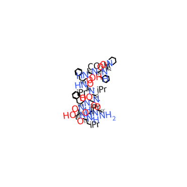 CC(C)C[C@@H](C(=O)N[C@H](C(=O)N(C)[C@@H](Cc1ccccc1)C(=O)NCC(=O)N(C)[C@@H](CC(C)C)C(O)N(C)[C@H](C(=O)N[C@@H](Cc1ccccc1)C(=O)N[C@@H](CC(=O)O)C(O)N(C)[C@@H](Cc1ccccc1)C(=O)N[C@@H](C)C(=O)N1CCCCC1)C(C)C)[C@@H](C)O)N(C)C(=O)[C@@H](NC(=O)[C@H](C)N)C(C)C